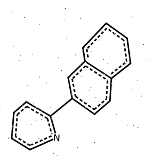 [c]1ccc(-c2ccc3ccccc3c2)nc1